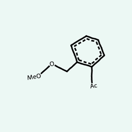 COOCc1ccccc1C(C)=O